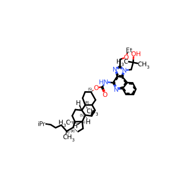 CCOCc1nc2c(NC(=O)O[C@H]3CC[C@@]4(C)C(C=C[C@H]5[C@@H]6CC[C@H]([C@H](C)CCCC(C)C)[C@@]6(C)CC[C@@H]54)C3)nc3ccccc3c2n1CC(C)(C)O